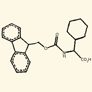 O=C(NC(C(=O)O)C1CCCCC1)OCC1c2ccccc2-c2ccccc21